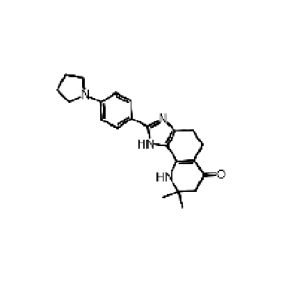 CC1(C)CC(=O)C2=C(N1)c1[nH]c(-c3ccc(N4CCCC4)cc3)nc1CC2